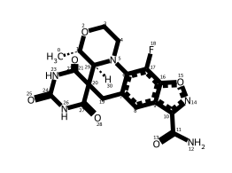 C[C@@H]1OCCN2c3c(cc4c(C(N)=O)noc4c3F)CC3(C(=O)NC(=O)NC3=O)[C@@H]12